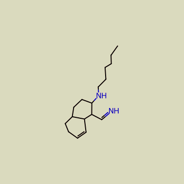 CCCCCCNC1CCC2CCC=CC2C1C=N